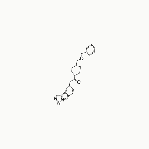 O=C(CC1C=Cc2cn3nncc3c2=C1)C1CCC(COCc2ccccc2)CC1